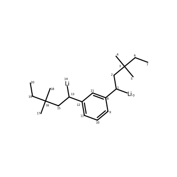 [Li][CH](CC(C)(C)CC)c1cccc([CH]([Li])CC(C)(C)CC)c1